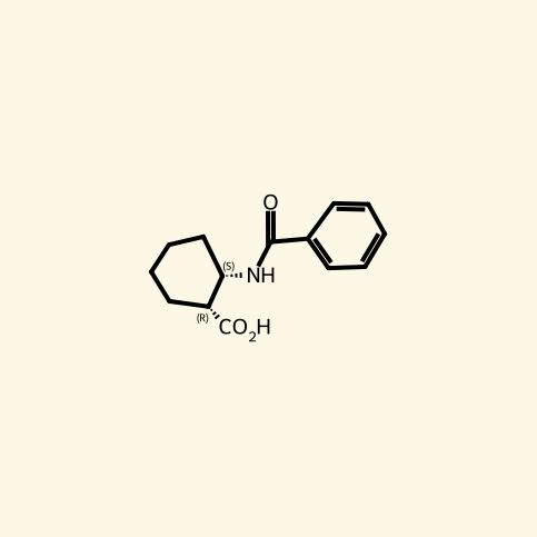 O=C(N[C@H]1CCCC[C@H]1C(=O)O)c1ccccc1